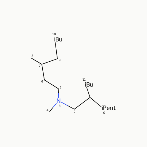 CCCC(C)C(CN(C)CCC(C)CC(C)CC)C(C)CC